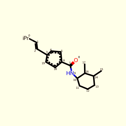 CC(C)/C=C/c1ccc(C(=O)NC2CCCC(C)C2C)cc1